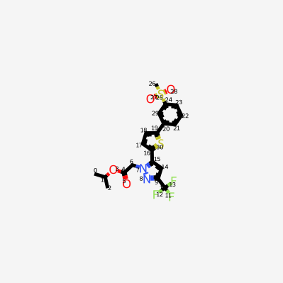 CC(C)OC(=O)Cn1nc(C(F)(F)F)cc1-c1ccc(-c2cccc(S(C)(=O)=O)c2)s1